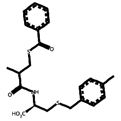 Cc1ccc(CSC[C@H](NC(=O)C(C)CSC(=O)c2ccccc2)C(=O)O)cc1